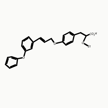 CCOC(Cc1ccc(OCC=Cc2cccc(Oc3ccccc3)c2)cc1)C(=O)O